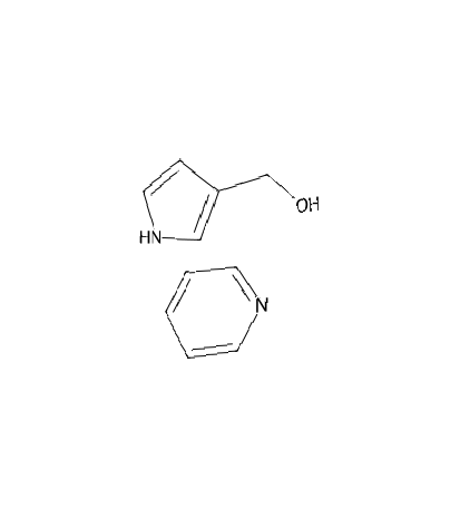 OCc1cc[nH]c1.c1ccncc1